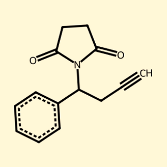 C#CCC(c1ccccc1)N1C(=O)CCC1=O